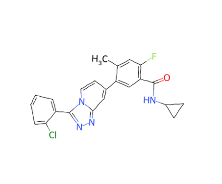 Cc1cc(F)c(C(=O)NC2CC2)cc1-c1ccn2c(-c3ccccc3Cl)nnc2c1